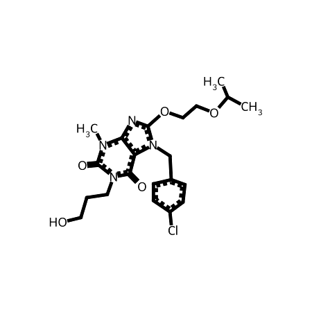 CC(C)OCCOc1nc2c(c(=O)n(CCCO)c(=O)n2C)n1Cc1ccc(Cl)cc1